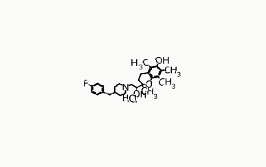 Cc1c(C)c2c(c(C)c1O)CCC(C)(C(O)CN1CCC(Cc3ccc(F)cc3)CC1)O2.Cl